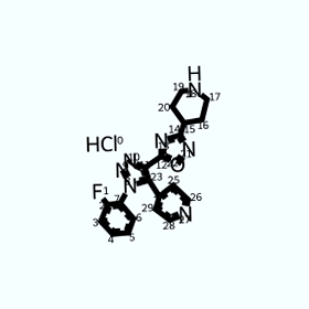 Cl.Fc1ccccc1-n1nnc(-c2nc(C3CCNCC3)no2)c1-c1ccncc1